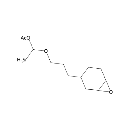 CC(=O)OC([SiH3])OCCCC1CCC2OC2C1